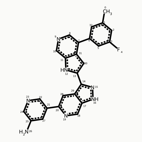 Cc1cc(F)cc(-c2cncc3[nH]c(-c4n[nH]c5cnc(-c6cncc(N)c6)cc45)cc23)c1